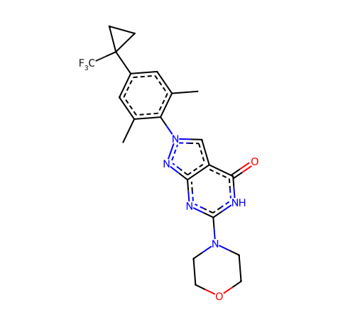 Cc1cc(C2(C(F)(F)F)CC2)cc(C)c1-n1cc2c(=O)[nH]c(N3CCOCC3)nc2n1